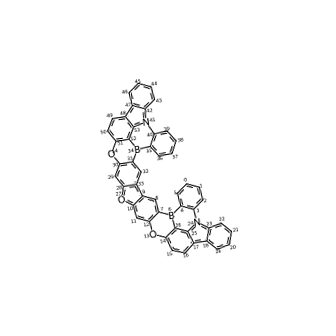 c1ccc2c(c1)B1c3cc4c(cc3Oc3ccc5c6ccccc6n-2c5c31)oc1cc2c(cc14)B1c3ccccc3-n3c4ccccc4c4ccc(c1c43)O2